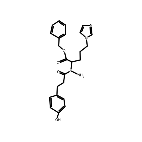 NN(C(=O)CCc1ccc(O)cc1)C(CCCn1ccnc1)C(=O)OCc1ccccc1